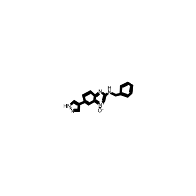 [O-][n+]1cc(NCc2ccccc2)nc2ccc(-c3cn[nH]c3)cc21